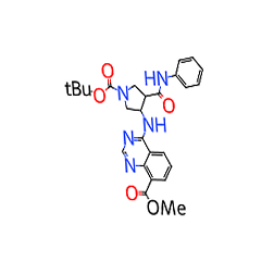 COC(=O)c1cccc2c(NC3CN(C(=O)OC(C)(C)C)CC3C(=O)Nc3ccccc3)ncnc12